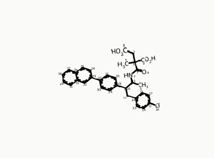 CC(NC(=O)C(C)(CC(=O)O)C(=O)O)C(Cc1ccc(Cl)cc1)c1ccc(-c2ccc3ccccc3c2)cc1